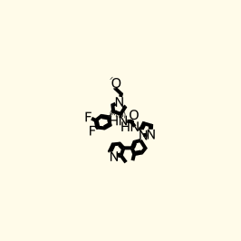 COCCN1C[C@@H](NC(=O)Nc2ccnn2C2C=C(c3cccnc3C)C(C)=CC2)[C@H](c2ccc(F)c(F)c2)C1